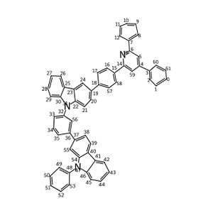 c1ccc(-c2cc(-c3ccccc3)nc(-c3ccc(-c4ccc5c(c4)c4ccccc4n5-c4cccc(-c5ccc6c7ccccc7n(-c7ccccc7)c6c5)c4)cc3)c2)cc1